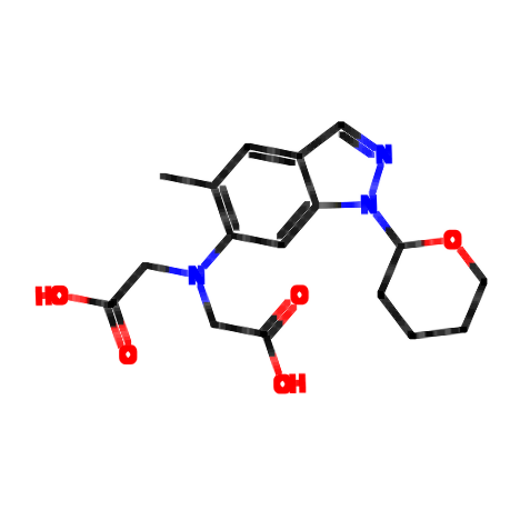 Cc1cc2cnn(C3CCCCO3)c2cc1N(CC(=O)O)CC(=O)O